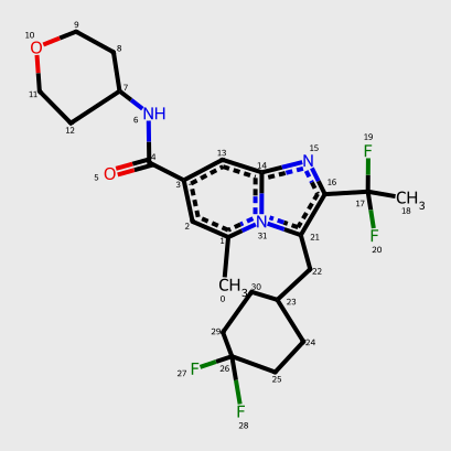 Cc1cc(C(=O)NC2CCOCC2)cc2nc(C(C)(F)F)c(CC3CCC(F)(F)CC3)n12